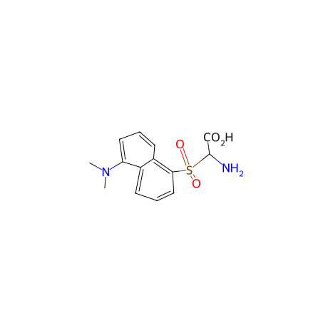 CN(C)c1cccc2c(S(=O)(=O)C(N)C(=O)O)cccc12